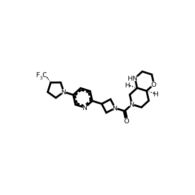 O=C(N1CC(c2ccc(N3CC[C@H](C(F)(F)F)C3)cn2)C1)N1CC[C@@H]2OCCN[C@@H]2C1